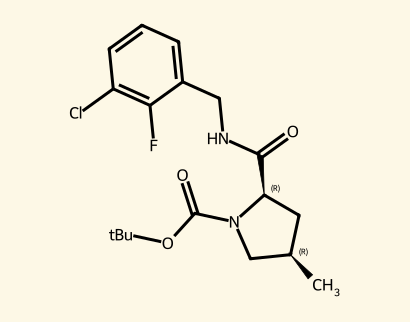 C[C@@H]1C[C@H](C(=O)NCc2cccc(Cl)c2F)N(C(=O)OC(C)(C)C)C1